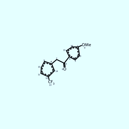 COc1ccc(C(=O)Cc2cccc(C(F)(F)F)c2)cc1